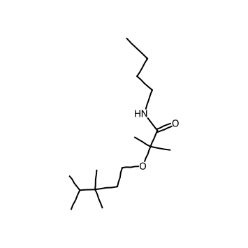 CCCCNC(=O)C(C)(C)OCCC(C)(C)C(C)C